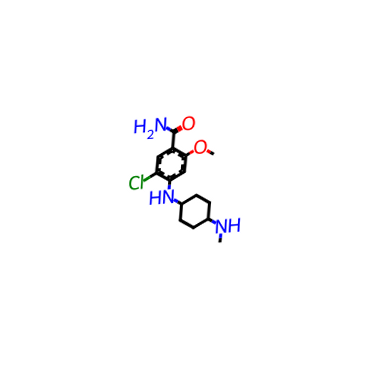 CNC1CCC(Nc2cc(OC)c(C(N)=O)cc2Cl)CC1